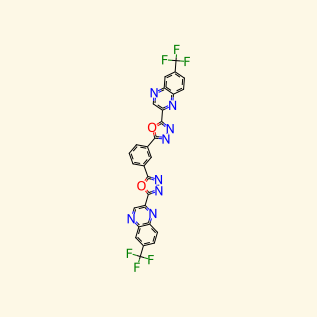 FC(F)(F)c1ccc2nc(-c3nnc(-c4cccc(-c5nnc(-c6cnc7cc(C(F)(F)F)ccc7n6)o5)c4)o3)cnc2c1